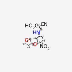 N#CC(=CNc1ccc([N+](=O)[O-])c(OC2CCOC2)c1)C(=O)O